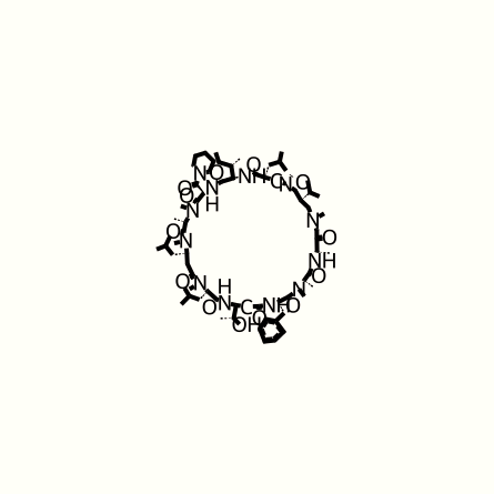 CC[C@H](C)[C@@H]1NC(=O)[C@H](CC(C)C)CN(C)C(=O)[C@H](C(C)C)CN(C)CC(=O)[C@H](C)NC(=O)[C@H](C)N(C)C(=O)[C@H](Cc2ccccc2)NC(=O)CC([C@@H](C)O)NC(=O)[C@H](CC(C)C)N(C)C(=O)C[C@H](CC(C)C)N(C)C(=O)[C@H](C)N(C)C(=O)[C@@H](C(=O)N2CCCCC2)NC1=O